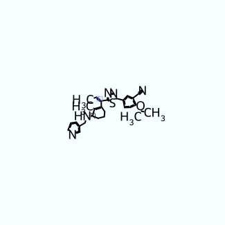 C/C=C(\C1=C(C)[C@H](NCc2cccnc2)CCC1)c1nnc(-c2ccc(OC(C)C)c(C#N)c2)s1